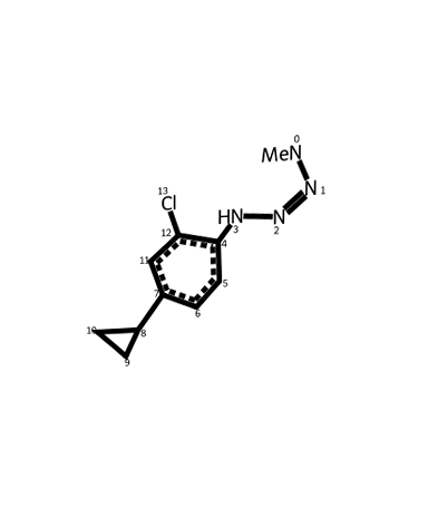 CN/N=N\Nc1ccc(C2CC2)cc1Cl